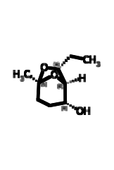 CC[C@H]1O[C@]2(C)CC[C@@H](O)[C@H]1O2